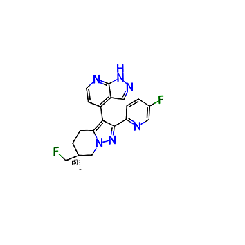 C[C@]1(CF)CCc2c(-c3ccnc4[nH]ncc34)c(-c3ccc(F)cn3)nn2C1